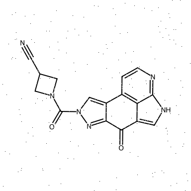 N#CC1CN(C(=O)n2cc3c(n2)C(=O)c2c[nH]c4nccc-3c24)C1